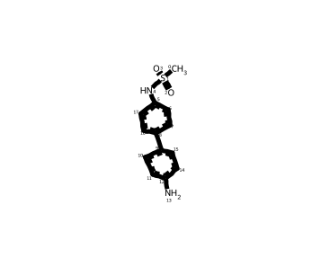 CS(=O)(=O)Nc1ccc(-c2ccc(N)cc2)cc1